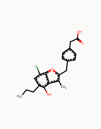 CCCc1cc(Cl)c2oc(Cc3ccc(CC(=O)O)cc3)c(C)c2c1O